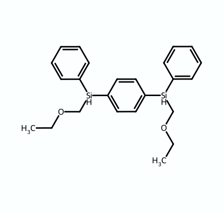 CCOC[SiH](c1ccccc1)c1ccc([SiH](COCC)c2ccccc2)cc1